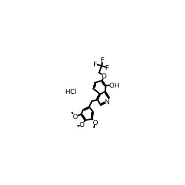 COc1cc(Cc2cncc3c(O)c(OCC(F)(F)F)ccc23)cc(OC)c1OC.Cl